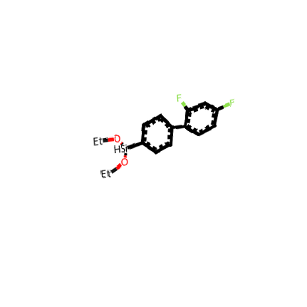 CCO[SiH](OCC)c1ccc(-c2ccc(F)cc2F)cc1